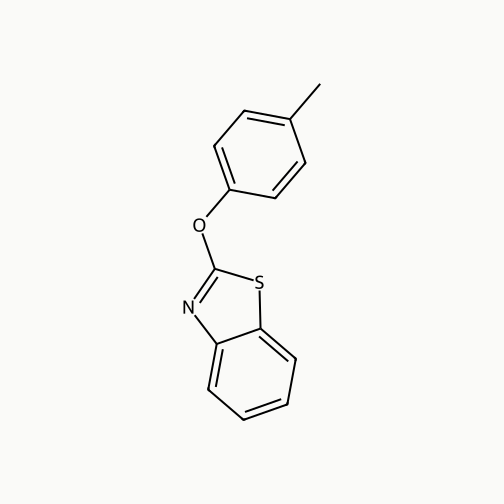 Cc1ccc(Oc2nc3ccccc3s2)cc1